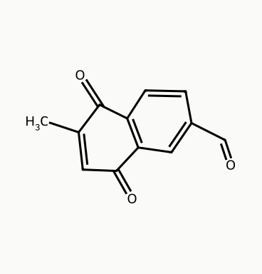 CC1=CC(=O)c2cc(C=O)ccc2C1=O